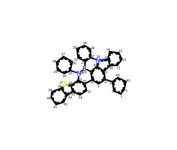 c1ccc(-c2cc3c4c5c2c2ccccc2n5-c2ccccc2B4N(c2ccccc2)c2c-3ccc3c2sc2ccccc23)cc1